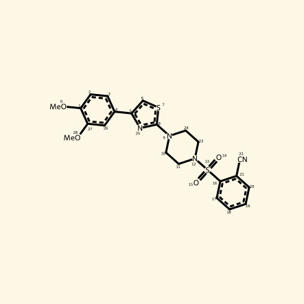 COc1ccc(-c2csc(N3CCN(S(=O)(=O)c4ccccc4C#N)CC3)n2)cc1OC